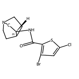 O=C(N[C@H]1CN2CCC1CC2)c1sc(Cl)cc1Br